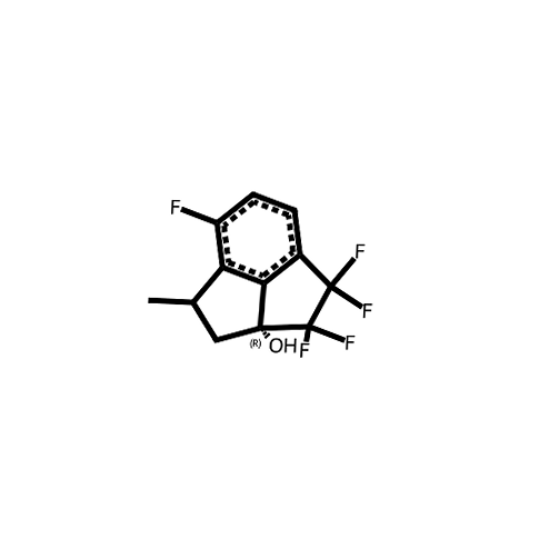 CC1C[C@@]2(O)c3c(ccc(F)c31)C(F)(F)C2(F)F